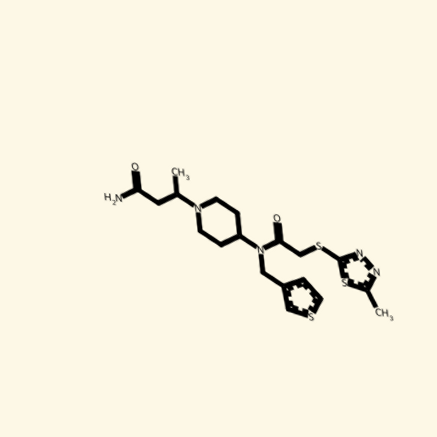 Cc1nnc(SCC(=O)N(Cc2ccsc2)C2CCN(C(C)CC(N)=O)CC2)s1